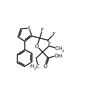 CCC(CC)(OC(F)(c1sccc1-c1ccccc1)C(F)F)C(=O)O